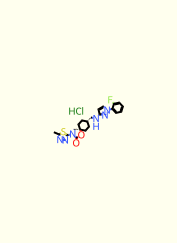 Cc1nnc(N2C[C@]3(CC[C@@H](CNc4ccn(-c5ccccc5F)n4)CC3)OC2=O)s1.Cl